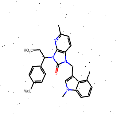 COc1ccc(C(CC(=O)O)n2c(=O)n(Cc3cn(C)c4cccc(C)c34)c3ccc(C)nc32)cc1